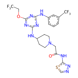 O=C(CN1CCC(Nc2nc(Nc3cccc(C(F)(F)F)c3)nc(OCC(F)(F)F)n2)CC1)Nc1nncs1